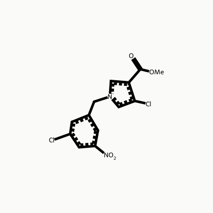 COC(=O)c1cn(Cc2cc(Cl)cc([N+](=O)[O-])c2)cc1Cl